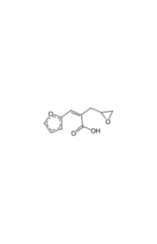 O=C(O)C(=Cc1ccco1)CC1CO1